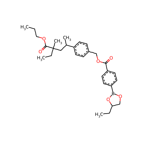 CCCOC(=O)C(C)(CC)CC(C)c1ccc(COC(=O)c2ccc(B3OCC(CC)O3)cc2)cc1